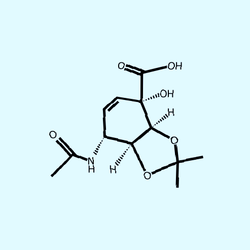 CC(=O)N[C@@H]1C=C[C@@](O)(C(=O)O)[C@H]2OC(C)(C)O[C@@H]12